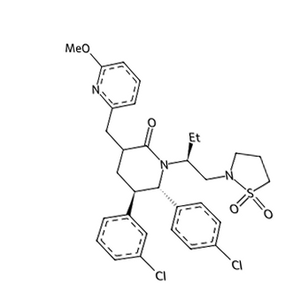 CC[C@@H](CN1CCCS1(=O)=O)N1C(=O)C(Cc2cccc(OC)n2)C[C@H](c2cccc(Cl)c2)[C@H]1c1ccc(Cl)cc1